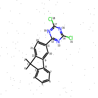 CC1(C)c2ccccc2-c2cc(-c3nc(Cl)nc(Cl)n3)ccc21